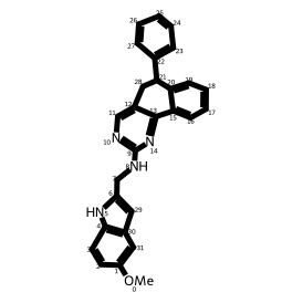 COc1ccc2[nH]c(CNc3ncc4c(n3)-c3ccccc3C(c3ccccc3)C4)cc2c1